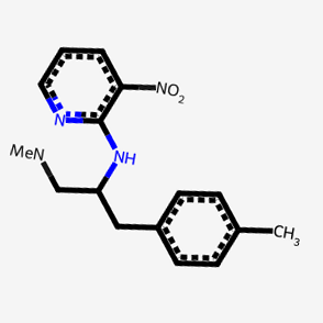 CNCC(Cc1ccc(C)cc1)Nc1ncccc1[N+](=O)[O-]